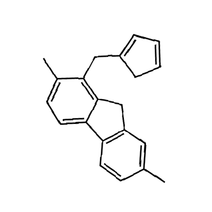 Cc1ccc2c(c1)Cc1c-2ccc(C)c1CC1=CC=CC1